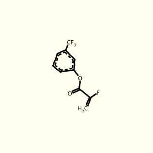 C=C(F)C(=O)Oc1cccc(C(F)(F)F)c1